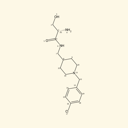 N[C@@H](CO)C(=O)NCC1CCN(Cc2ccc(Cl)cc2)CC1